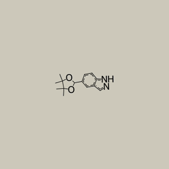 CC1(C)OC(c2ccc3[nH]ncc3c2)OC1(C)C